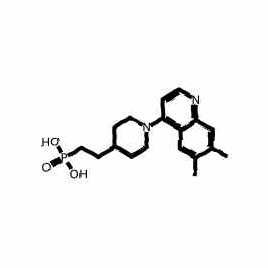 Cc1cc2nccc(N3CCC(CCP(=O)(O)O)CC3)c2cc1C